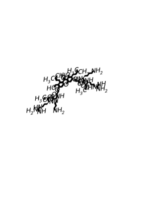 C=C(COc1cc2oc3cc(OCC(=O)N[C@@H](CCCCN)C(=O)N[C@@H](CCCNC(=N)N)C(=O)OC)c(CO)c(CC=C(C)C)c3c(=O)c2c(O)c1CC=C(C)C)N[C@@H](CCCCN)C(=O)N[C@@H](CCCNC(=N)N)C(=O)OC